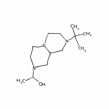 CC(O)N1CCN2CCN(C(C)(C)C)CC2C1